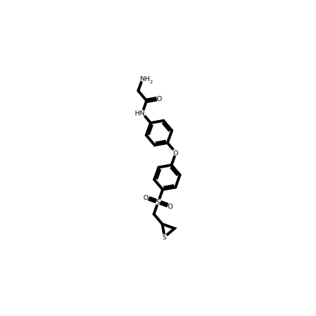 NCC(=O)Nc1ccc(Oc2ccc(S(=O)(=O)CC3CS3)cc2)cc1